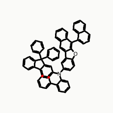 c1ccc(-c2ccccc2N(c2ccc3c(c2)C(c2ccccc2)(c2ccccc2)c2ccccc2-3)c2ccc3oc4c(-c5cccc6ccccc56)c5ccccc5cc4c3c2)cc1